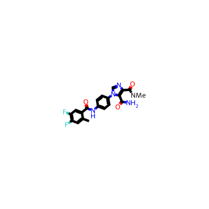 CNC(=O)c1ncn(-c2ccc(NC(=O)c3cc(F)c(F)cc3C)cc2)c1C(N)=O